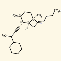 C[C@@]12CC[C@H](O)[C@@H](C#CC(O)C3CCCCC3)[C@@H]1C/C2=C/CCC(=O)O